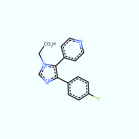 O=C(O)Cn1cnc(-c2ccc(F)cc2)c1-c1ccncc1